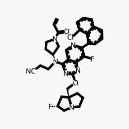 C=CC(=O)N1CC[C@@H](N(CCC#N)c2nc(OC[C@@]34CCCN3C[C@H](F)C4)nc3c(F)c(-c4cccc5cccc(Cl)c45)ncc23)C1